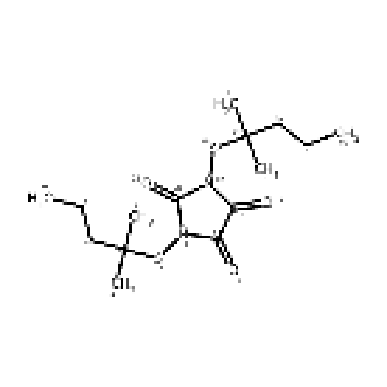 CCCC(C)(C)SN1C(=O)C(=O)N(SC(C)(C)CCC)C1=O